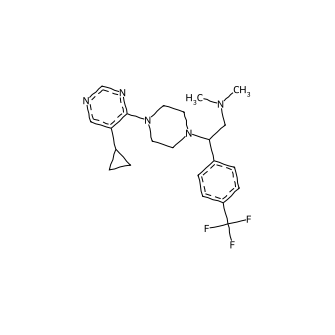 CN(C)CC(c1ccc(C(F)(F)F)cc1)N1CCN(c2ncncc2C2CC2)CC1